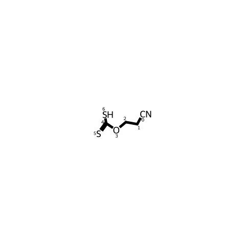 N#CCCOC(=S)S